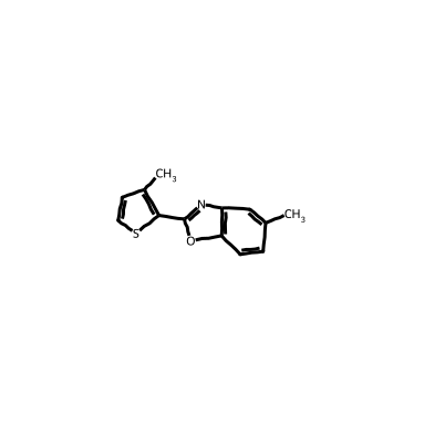 Cc1ccc2oc(-c3sccc3C)nc2c1